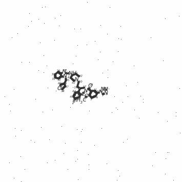 COc1ccc(-n2cnnn2)cc1C(=O)N(C)CC(CCN1CCC(Nc2nc3ccccc3n2Cc2ccoc2)CC1)c1ccc(F)cc1